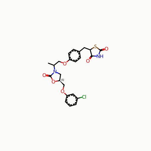 CC(COc1ccc(CC2SC(=O)NC2=O)cc1)N1C[C@@H](COc2cccc(Cl)c2)OC1=O